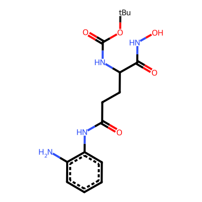 CC(C)(C)OC(=O)NC(CCC(=O)Nc1ccccc1N)C(=O)NO